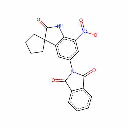 O=C1c2ccccc2C(=O)N1c1cc([N+](=O)[O-])c2c(c1)C1(CCCC1)C(=O)N2